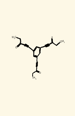 CCC(=O)C#Cc1cc(C#CC(=O)CC)cc(C#CC(=O)CC)c1